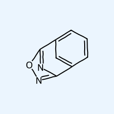 c1cc2cc(c1)c1nc2no1